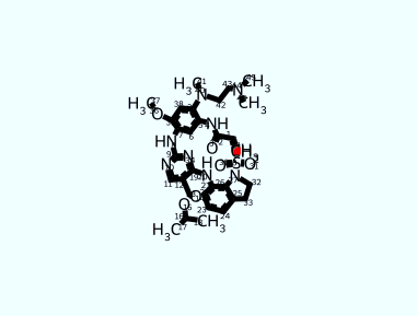 C=CC(=O)Nc1cc(Nc2ncc(C(=O)OC(C)C)c(Nc3cccc4c3N(S(C)(=O)=O)CC4)n2)c(OC)cc1N(C)CCN(C)C